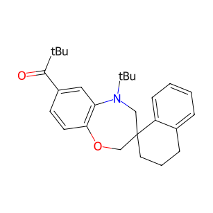 CC(C)(C)C(=O)c1ccc2c(c1)N(C(C)(C)C)CC1(CCCc3ccccc31)CO2